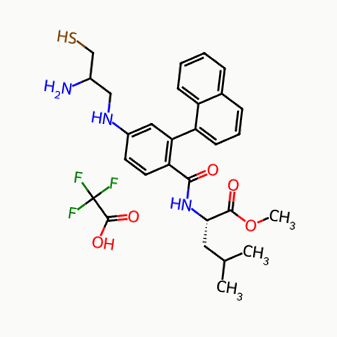 COC(=O)[C@H](CC(C)C)NC(=O)c1ccc(NCC(N)CS)cc1-c1cccc2ccccc12.O=C(O)C(F)(F)F